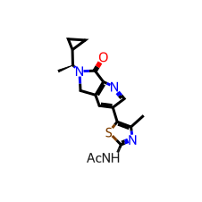 CC(=O)Nc1nc(C)c(-c2cnc3c(c2)CN([C@@H](C)C2CC2)C3=O)s1